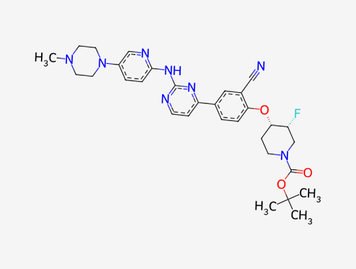 CN1CCN(c2ccc(Nc3nccc(-c4ccc(O[C@H]5CCN(C(=O)OC(C)(C)C)C[C@H]5F)c(C#N)c4)n3)nc2)CC1